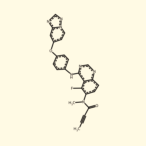 CC#CC(=O)N(C)c1ccc2ncnc(Nc3ccc(Oc4ccn5ncnc5c4)cc3)c2c1F